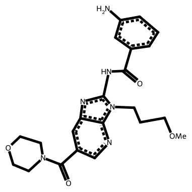 COCCCn1c(NC(=O)c2cccc(N)c2)nc2cc(C(=O)N3CCOCC3)cnc21